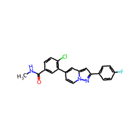 CNC(=O)c1ccc(Cl)c(-c2ccn3nc(-c4ccc(F)cc4)cc3c2)c1